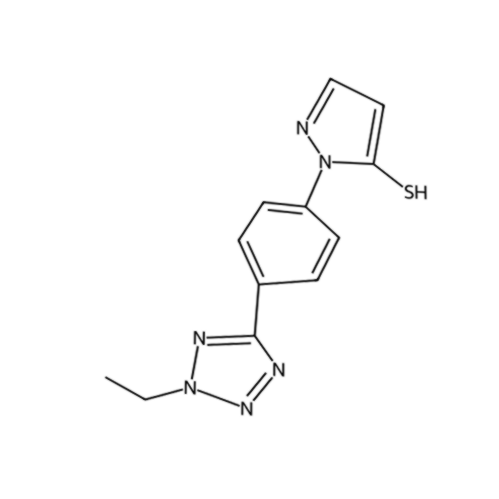 CCn1nnc(-c2ccc(-n3nccc3S)cc2)n1